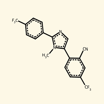 Cn1c(-c2ccc(C(F)(F)F)cc2C#N)cnc1-c1ccc(C(F)(F)F)cc1